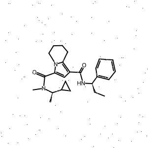 CC[C@@H](NC(=O)c1cc(C(=O)N(C)[C@H](C)C2CC2)n2c1CCCC2)c1ccccc1